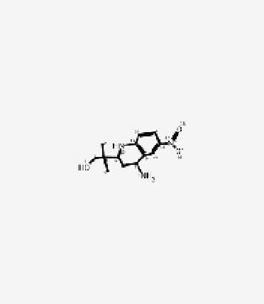 CC(C)(CO)C1CC(N)c2cc([N+](=O)[O-])ccc2N1